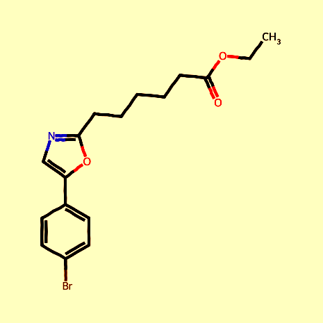 CCOC(=O)CCCCCc1ncc(-c2ccc(Br)cc2)o1